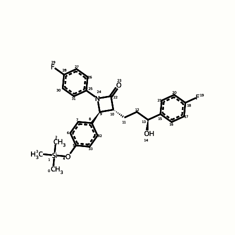 C[Si](C)(C)Oc1ccc([C@@H]2[C@@H](CC[C@H](O)c3ccc(F)cc3)C(=O)N2c2ccc(F)cc2)cc1